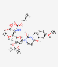 C=CCOC(=O)N[C@H](C(=O)O)[C@H](OC)[C@H]1O[C@@H](n2ccc(=O)n(Cc3ccc(OC)cc3)c2=O)C2OC(C)(C)O[C@H]21